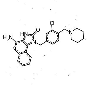 Nc1nc2ccccc2c2c1[nH]c(=O)n2Cc1ccc(CN2CCCCC2)c(Cl)c1